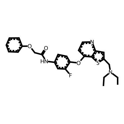 CCN(CC)Cc1cc2nccc(Oc3ccc(NC(=O)COc4ccccc4)cc3F)c2s1